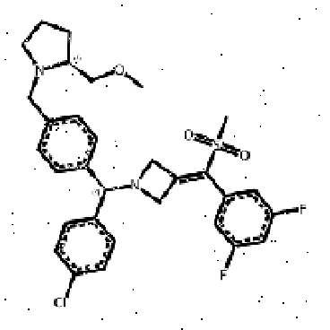 COC[C@@H]1CCCN1Cc1ccc([C@H](c2ccc(Cl)cc2)N2CC(=C(c3cc(F)cc(F)c3)S(C)(=O)=O)C2)cc1